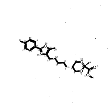 COC(=O)[C@]1(C)OC[C@H](CCCCCc2nc(-c3ccc(C)cc3)oc2C)CO1